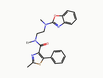 CCN(CCN(C)c1nc2ccccc2o1)C(=O)c1nc(C)sc1-c1ccccc1